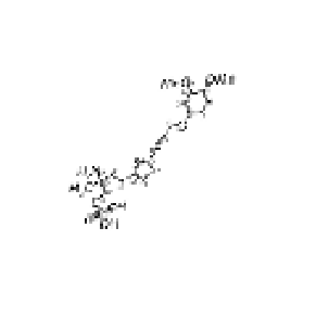 COc1ccc(OCC#Cc2ccc(CCC(C)(N)COP(=O)(O)O)s2)cc1OC